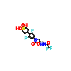 O=C(NC[C@H]1CN(c2cc(F)c(C3C=CS(O)(O)CC3)c(F)c2)C(=O)O1)C(F)F